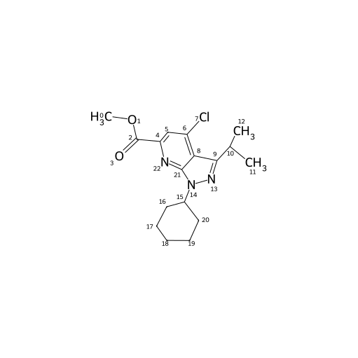 COC(=O)c1cc(Cl)c2c(C(C)C)nn(C3CCCCC3)c2n1